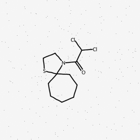 O=C(C(Cl)Cl)N1CCSC12CCCCCC2